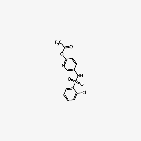 O=C(Oc1ccc(NS(=O)(=O)c2ccccc2Cl)cn1)C(F)(F)F